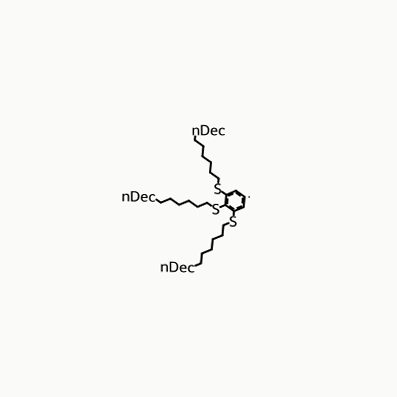 CCCCCCCCCCCCCCCCSc1c[c]cc(SCCCCCCCCCCCCCCCC)c1SCCCCCCCCCCCCCCCC